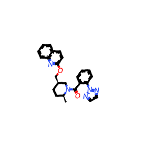 C[C@H]1CC[C@@H](COc2ccc3ccccc3n2)CN1C(=O)c1ccccc1-n1nccn1